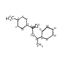 CC1CCC(C(=O)OC(C)C2CCCCC2)CC1